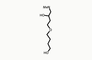 CNCC(O)CCOCCCCO